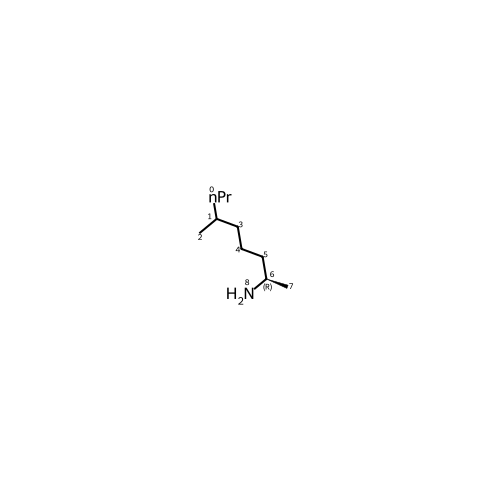 CCCC(C)CCC[C@@H](C)N